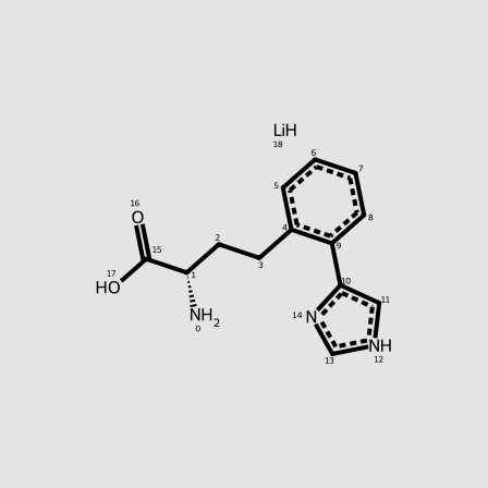 N[C@@H](CCc1ccccc1-c1c[nH]cn1)C(=O)O.[LiH]